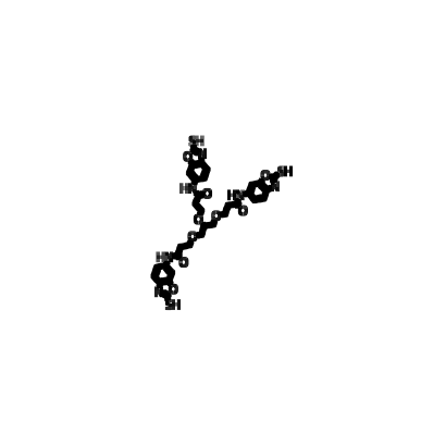 O=C(CCOCC(COCCC(=O)Nc1ccc2nc(S)oc2c1)OCCC(=O)Nc1ccc2nc(S)oc2c1)Nc1ccc2nc(S)oc2c1